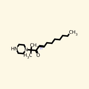 CCCCCCC/C=C/C(=O)C(C)(C)N1CCNCC1